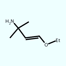 CCOC=CC(C)(C)N